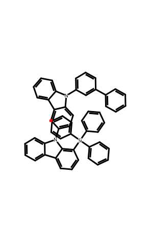 c1ccc(-c2cccc(-n3c4ccccc4c4cc(-n5c6ccccc6c6cccc([Si](c7ccccc7)(c7ccccc7)c7ccccc7)c65)ccc43)c2)cc1